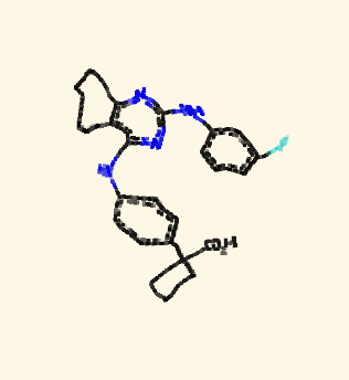 O=C(O)C1(c2ccc(Nc3nc(Nc4cccc(F)c4)nc4c3CCC4)cc2)CCC1